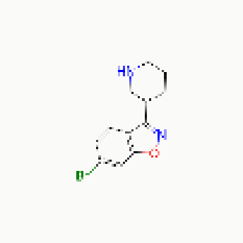 Brc1ccc2c(C3CCCNC3)noc2c1